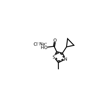 Cc1nc(C2CC2)c(C(=O)O)s1.[Cl-].[Na+]